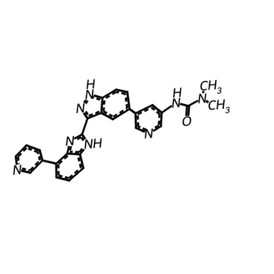 CN(C)C(=O)Nc1cncc(-c2ccc3[nH]nc(-c4nc5c(-c6cccnc6)cccc5[nH]4)c3c2)c1